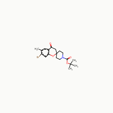 Cc1cc2c(cc1Br)OC1(CCN(C(=O)OC(C)(C)C)CC1)CC2=O